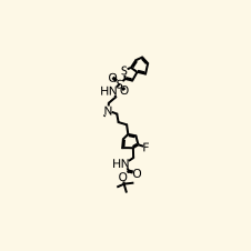 CN(CCCc1ccc(CNC(=O)OC(C)(C)C)c(F)c1)CCNS(=O)(=O)c1cc2ccccc2s1